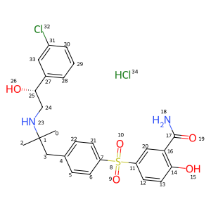 CC(C)(Cc1ccc(S(=O)(=O)c2ccc(O)c(C(N)=O)c2)cc1)NC[C@H](O)c1cccc(Cl)c1.Cl